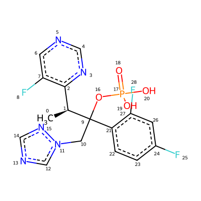 C[C@@H](c1ncncc1F)C(Cn1cncn1)(OP(=O)(O)O)c1ccc(F)cc1F